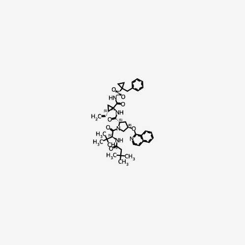 C=C[C@@H]1C[C@]1(NC(=O)[C@@H]1C[C@@H](Oc2nccc3ccccc23)CN1C(=O)[C@@H](NC(=O)CC(C)(C)C)C(C)(C)C)C(=O)NS(=O)(=O)C1(Cc2ccccc2)CC1